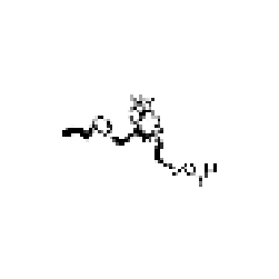 C=CCOCC(O)CN(C)CCS(=O)(=O)O.[Na]